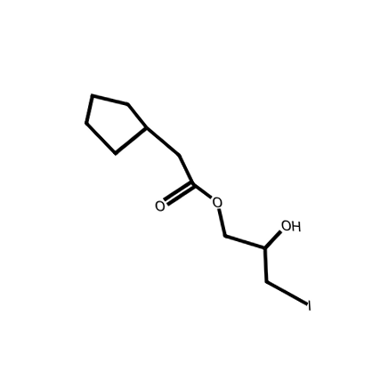 O=C(CC1CCCC1)OCC(O)CI